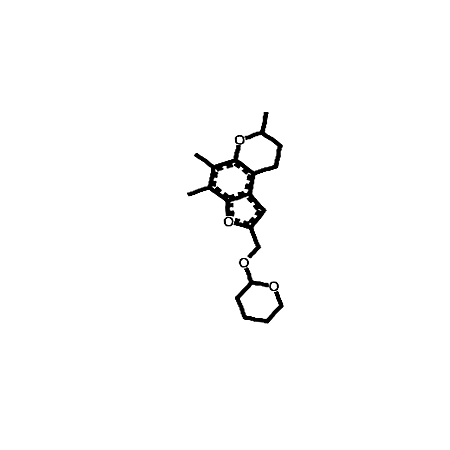 Cc1c2c(c3cc(COC4CCCCO4)oc3c1C)CCC(C)O2